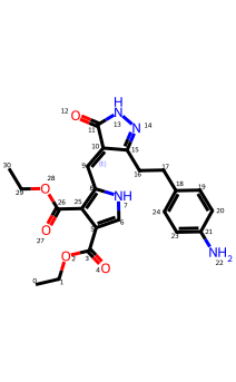 CCOC(=O)c1c[nH]c(/C=C2/C(=O)NN=C2CCc2ccc(N)cc2)c1C(=O)OCC